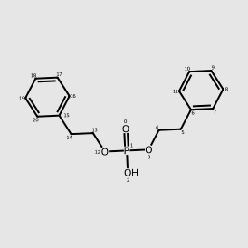 O=P(O)(OCCc1ccccc1)OCCc1ccccc1